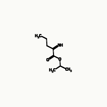 CCCC(=N)C(=O)OC(C)C